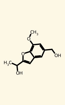 COc1cc(CO)cc2cc(C(C)O)oc12